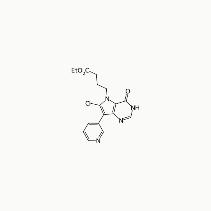 CCOC(=O)CCCn1c(Cl)c(-c2cccnc2)c2nc[nH]c(=O)c21